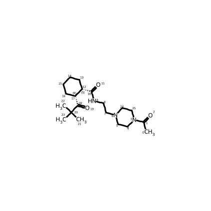 CC(=O)N1CCN(CCNC(=O)[C@H]2CCCC[C@H]2C(=O)C(C)(C)C)CC1